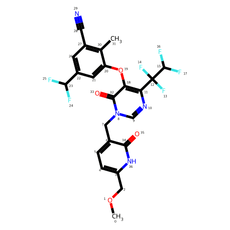 COCc1ccc(Cn2cnc(C(F)(F)C(F)F)c(Oc3cc(C(F)F)cc(C#N)c3C)c2=O)c(=O)[nH]1